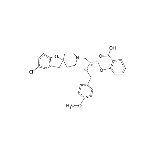 COc1ccc(CO[C@@H](COc2ccccc2C(=O)O)CN2CCC3(CC2)Cc2cc(Cl)ccc2O3)cc1